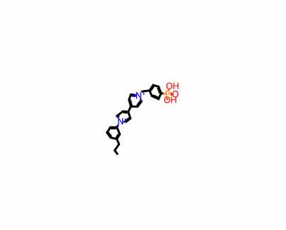 CCCc1cccc(-[n+]2ccc(-c3cc[n+](Cc4ccc(P(=O)(O)O)cc4)cc3)cc2)c1